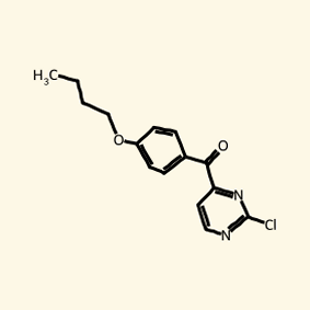 CCCCOc1ccc(C(=O)c2ccnc(Cl)n2)cc1